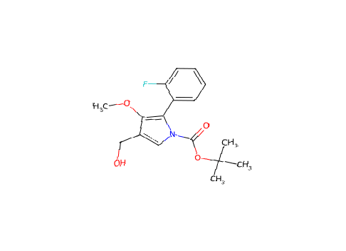 COc1c(CO)cn(C(=O)OC(C)(C)C)c1-c1ccccc1F